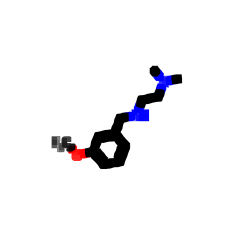 CN(C)CCNCc1cccc(OC(F)(F)F)c1